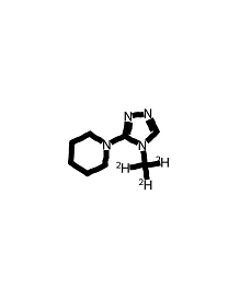 [2H]C([2H])([2H])n1cnnc1N1CCCCC1